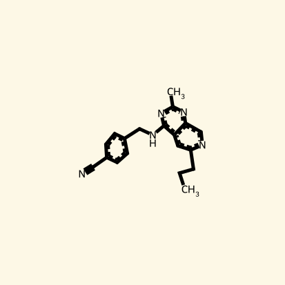 CCCc1cc2c(NCc3ccc(C#N)cc3)nc(C)nc2cn1